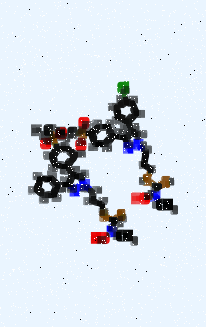 CN(O)C(=S)SCC=Cn1cc(-c2ccc(Cl)cc2)c(-c2ccc(S(C)(=O)=O)cc2)n1.CN(O)C(=S)SCC=Cn1cc(-c2ccc(S(C)(=O)=O)cc2)c(-c2ccccc2)n1